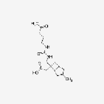 CC(=O)CCCNC(=O)NCC1(CC(=O)O)CC2CC(C)=CC21